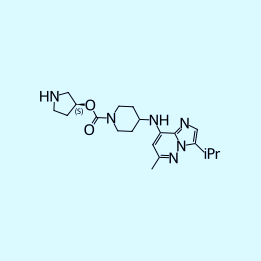 Cc1cc(NC2CCN(C(=O)O[C@H]3CCNC3)CC2)c2ncc(C(C)C)n2n1